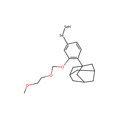 COCCOCOc1cc([Se][SeH])ccc1C12CC3CC(CC(C3)C1)C2